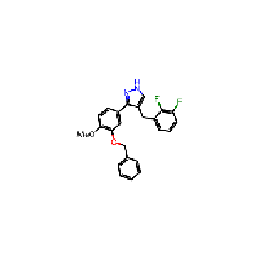 COc1ccc(-c2n[nH]cc2Cc2cccc(F)c2F)cc1OCc1ccccc1